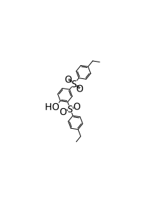 CCc1ccc(S(=O)(=O)c2ccc(O)c(S(=O)(=O)c3ccc(CC)cc3)c2)cc1